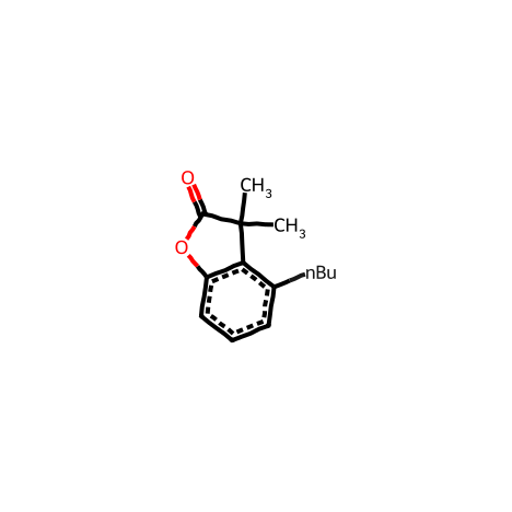 CCCCc1cccc2c1C(C)(C)C(=O)O2